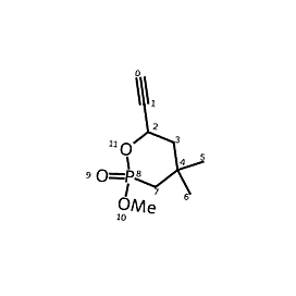 C#CC1CC(C)(C)CP(=O)(OC)O1